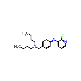 CCCCN(CCCC)CC1=CCC(=Nc2cccnc2Cl)C=C1